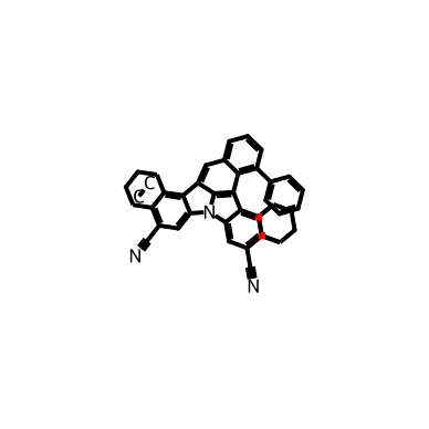 N#Cc1cc2c(c3c1C1CCC3CC1)c1cc3cccc(-c4ccccc4)c3c3c4c5c(c(C#N)cc4n2c13)C1CCC5CC1